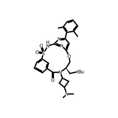 Cc1cccc(C)c1-c1cc2nc(n1)NS(=O)(=O)c1cccc(c1)C(=O)N(C1CC(N(C)C)C1)[C@H](CC(C)(C)C)CO2